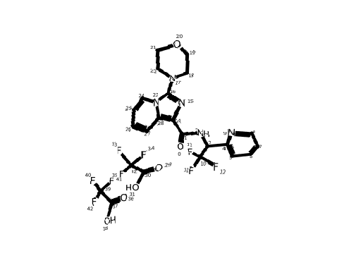 O=C(NC(c1ccccn1)C(F)(F)F)c1nc(N2CCOCC2)n2ccccc12.O=C(O)C(F)(F)F.O=C(O)C(F)(F)F